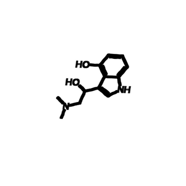 CN(C)CC(O)c1c[nH]c2cccc(O)c12